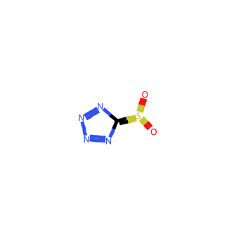 O=S(=O)=C1N=NN=N1